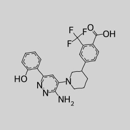 Nc1nnc(-c2ccccc2O)cc1N1CCCC(c2ccc(C(=O)O)c(C(F)(F)F)c2)C1